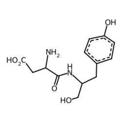 NC(CC(=O)O)C(=O)NC(CO)Cc1ccc(O)cc1